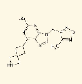 Cc1nonc1Cn1cnc2c(C3CC4(CNC4)C3)nc(C(C)(C)C)nc21